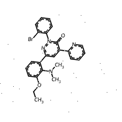 CCOc1cccc(-c2cc(-c3ccccn3)c(=O)n(-c3ccccc3Br)n2)c1N(C)C